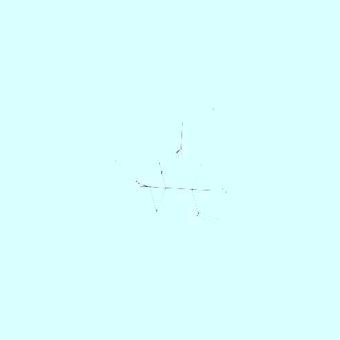 CC(=O)OCC12CC3(C#N)C(=O)OC(C1C)C3(COC(C)=O)C2